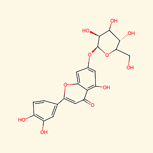 O=c1cc(-c2ccc(O)c(O)c2)oc2cc(O[C@@H]3OC(CO)[C@@H](O)C(O)[C@@H]3O)cc(O)c12